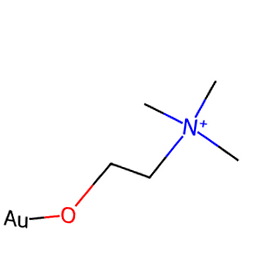 C[N+](C)(C)CC[O][Au]